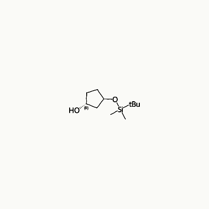 CC(C)(C)[Si](C)(C)OC1CC[C@@H](O)C1